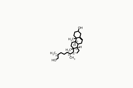 C[C@@H](CO)CCC[C@@H](C)[C@H]1CC[C@H]2C3CC=C4CC(O)CCC4(C)[C@H]3CCC12C